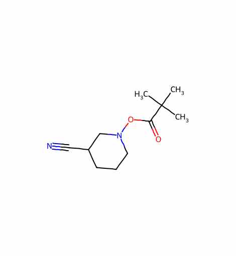 CC(C)(C)C(=O)ON1CCCC(C#N)C1